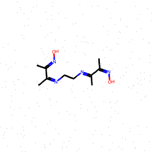 CC(=NO)C(C)=NCCN=C(C)C(C)=NO